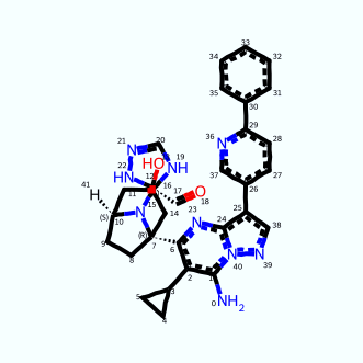 Nc1c(C2CC2)c([C@@]23CC[C@@H](CC(O)C2)N3[C@]2(C=O)NC=NN2)nc2c(-c3ccc(-c4ccccc4)nc3)cnn12